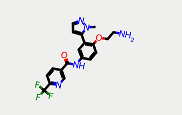 Cn1nccc1-c1cc(NC(=O)c2ccc(C(F)(F)F)nc2)ccc1OCCN